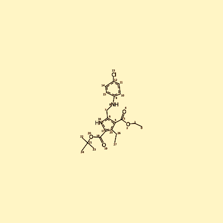 CCOC(=O)c1c(CNc2ccc(Cl)cc2)[nH]c(C(=O)OC(C)(C)C)c1CC